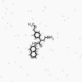 COCc1ccc(C(CCN)C(=O)Nc2ccc3cnccc3c2)cc1